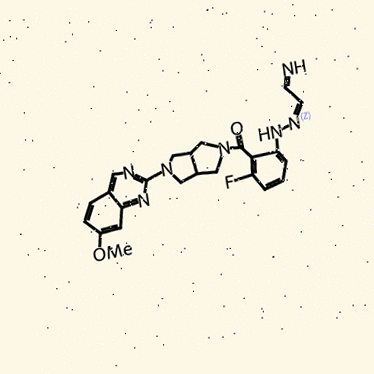 COc1ccc2cnc(N3CC4CN(C(=O)c5c(F)cccc5N/N=C\C=N)CC4C3)nc2c1